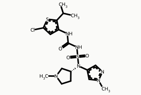 CC(C)c1sc(Cl)cc1NC(=O)NS(=O)(=O)N(c1cnn(C)c1)[C@@H]1CCN(C)C1